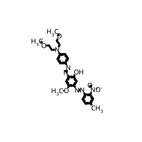 COCCN(CCOC)c1ccc(N=Nc2cc(OC)c(N=Nc3ccc(C)cc3[N+](=O)[O-])cc2O)cc1